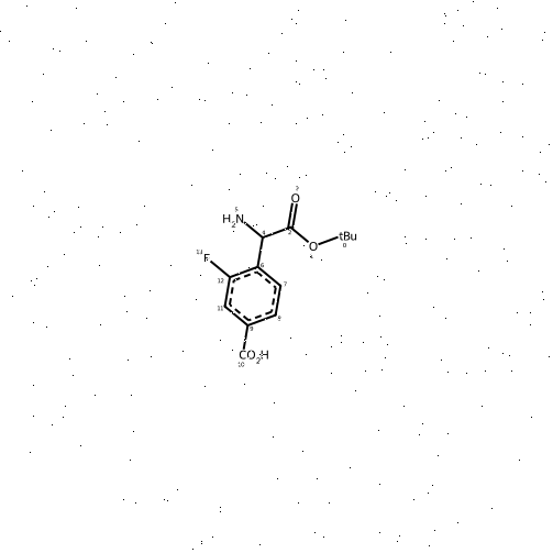 CC(C)(C)OC(=O)C(N)c1ccc(C(=O)O)cc1F